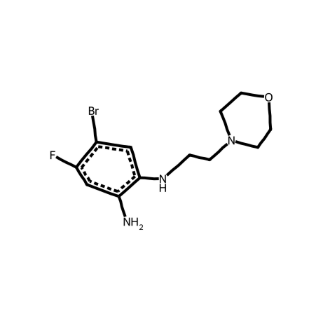 Nc1cc(F)c(Br)cc1NCCN1CCOCC1